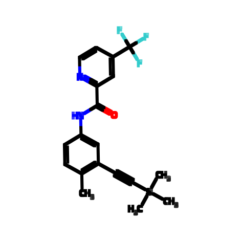 Cc1ccc(NC(=O)c2cc(C(F)(F)F)ccn2)cc1C#C[Si](C)(C)C